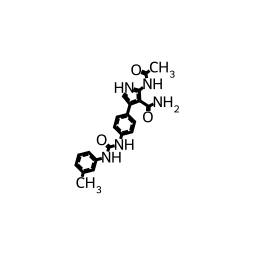 CC(=O)Nc1[nH]cc(-c2ccc(NC(=O)Nc3cccc(C)c3)cc2)c1C(N)=O